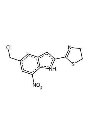 O=[N+]([O-])c1cc(CCl)cc2cc(C3=N[CH]CS3)[nH]c12